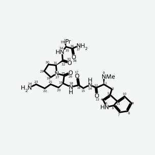 CN[C@@H](Cc1c[nH]c2ccccc12)C(=O)NCC(=O)N[C@@H](CCCCN)C(=O)N1CCC[C@H]1C(=O)N[C@H](C(N)=O)C(C)C